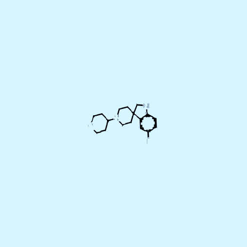 Fc1ccc2c(c1)C1(CCN(C3CCOCC3)CC1)CN2